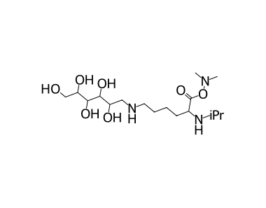 CC(C)NC(CCCCNCC(O)C(O)C(O)C(O)CO)C(=O)ON(C)C